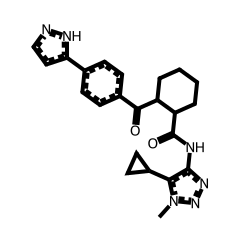 Cn1nnc(NC(=O)C2CCCCC2C(=O)c2ccc(-c3ccn[nH]3)cc2)c1C1CC1